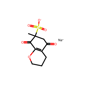 CC1(S(=O)(=O)[O-])CC(=O)C2=C(OCCC2)C1=O.[Na+]